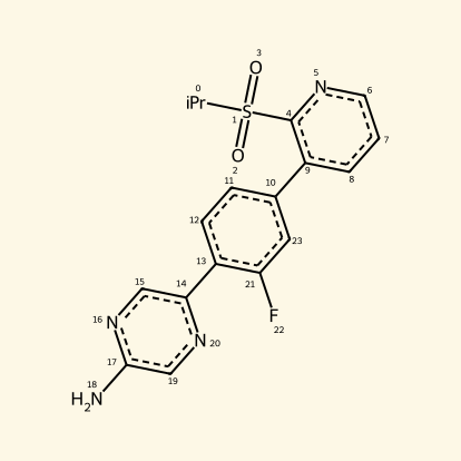 CC(C)S(=O)(=O)c1ncccc1-c1ccc(-c2cnc(N)cn2)c(F)c1